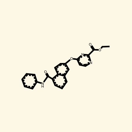 CCOC(=O)c1nccc(Oc2ccc3c(C(=O)Nc4ccccc4)cccc3c2)n1